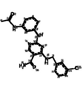 CC(=O)Nc1cccc(Nc2ncc(C(N)=O)c(NCc3cccc(Cl)c3)n2)c1